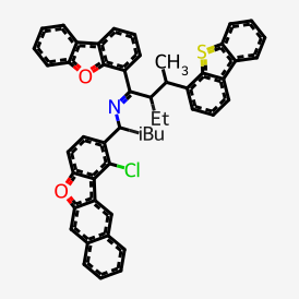 CCC(C)C(/N=C(/c1cccc2c1oc1ccccc12)C(CC)C(C)c1cccc2c1sc1ccccc12)c1ccc2oc3cc4ccccc4cc3c2c1Cl